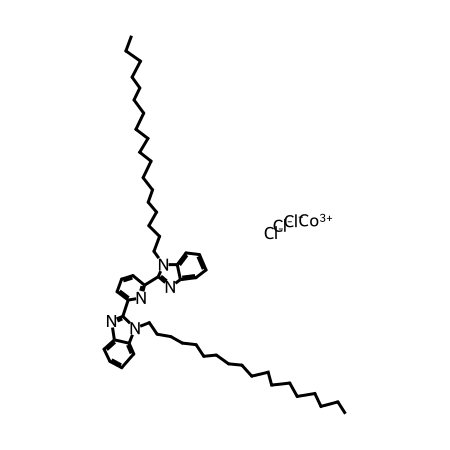 CCCCCCCCCCCCCCCCCCn1c(-c2cccc(-c3nc4ccccc4n3CCCCCCCCCCCCCCCCCC)n2)nc2ccccc21.[Cl-].[Cl-].[Cl-].[Co+3]